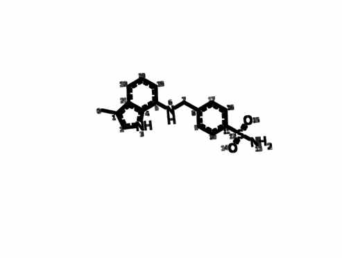 Cc1c[nH]c2c(NCc3ccc(S(N)(=O)=O)cc3)cccc12